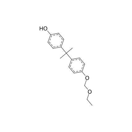 CCOCOc1ccc(C(C)(C)c2ccc(O)cc2)cc1